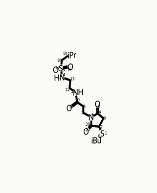 CCC(C)SC1CC(=O)N(CCC(=O)NCCNS(=O)(=O)CC(C)C)C1=O